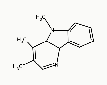 CC1=C(C)C2C(N=C1)c1ccccc1N2C